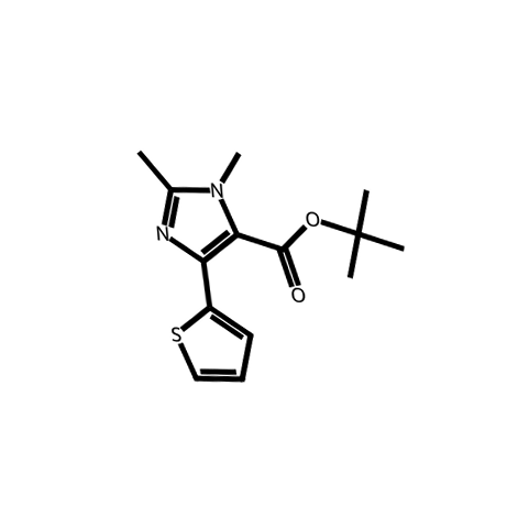 Cc1nc(-c2cccs2)c(C(=O)OC(C)(C)C)n1C